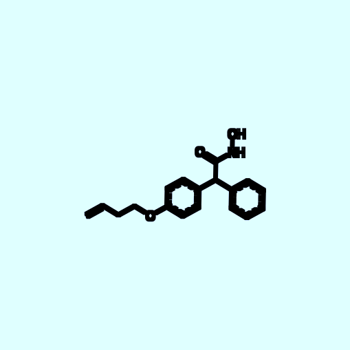 C=CCCOc1ccc(C(C(=O)NO)c2ccccc2)cc1